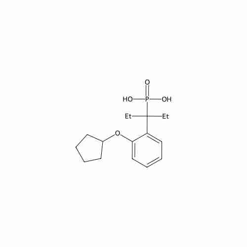 CCC(CC)(c1ccccc1OC1CCCC1)P(=O)(O)O